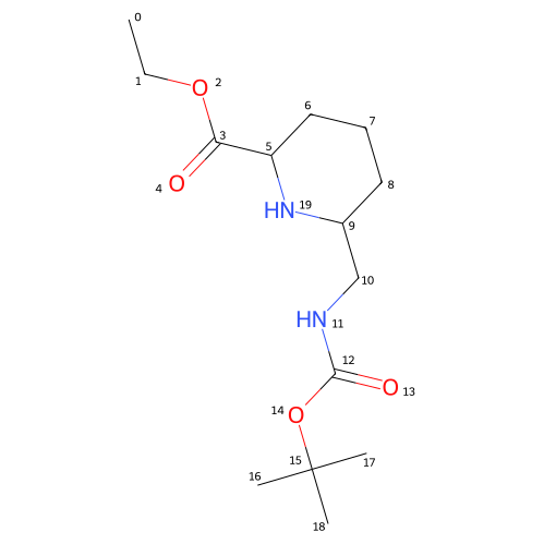 CCOC(=O)C1CCCC(CNC(=O)OC(C)(C)C)N1